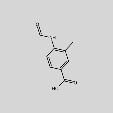 Cc1cc(C(=O)O)ccc1NC=O